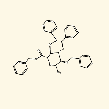 O=C(OCc1ccccc1)[C@H]1OC(O)[C@H](OCc2ccccc2)[C@@H](OCc2ccccc2)[C@@H]1OCc1ccccc1